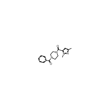 Cc1cc(C(=O)N2CCN(C(=O)c3ccccc3)CC2)n(C)n1